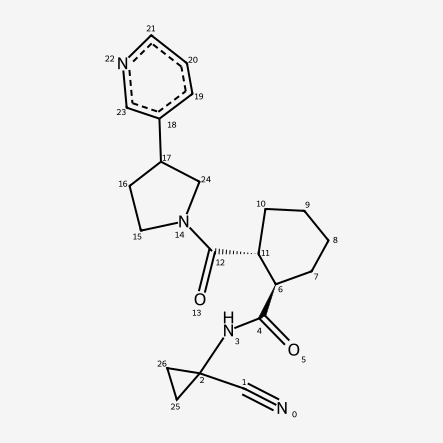 N#CC1(NC(=O)[C@@H]2CCCC[C@H]2C(=O)N2CCC(c3cccnc3)C2)CC1